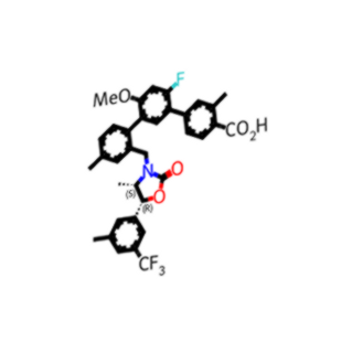 COc1cc(F)c(-c2ccc(C(=O)O)c(C)c2)cc1-c1ccc(C)cc1CN1C(=O)O[C@H](c2cc(C)cc(C(F)(F)F)c2)[C@@H]1C